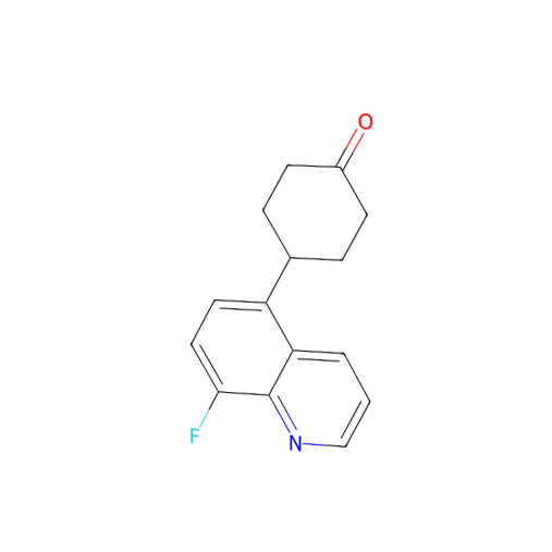 O=C1CCC(c2ccc(F)c3ncccc23)CC1